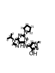 CC(C)n1cnc2c(Nc3cn(C)nc3O)nc(N3CCCC3)nc21